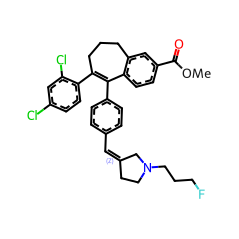 COC(=O)c1ccc2c(c1)CCCC(c1ccc(Cl)cc1Cl)=C2c1ccc(/C=C2/CCN(CCCF)C2)cc1